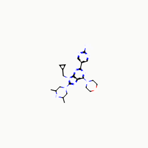 CC1CN(c2nc3c(N4CCOCC4)nc(-c4cnc(N)nc4)nc3n2CC2CC2)CC(C)N1